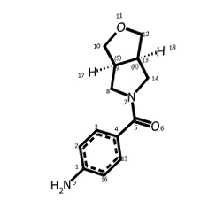 Nc1ccc(C(=O)N2C[C@H]3COC[C@H]3C2)cc1